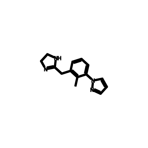 Cc1c(CC2=NCCN2)cccc1-n1cccn1